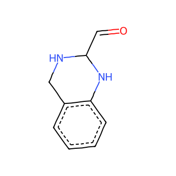 O=CC1NCc2ccccc2N1